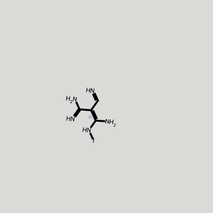 N=C/C(C(=N)N)=C(\N)NI